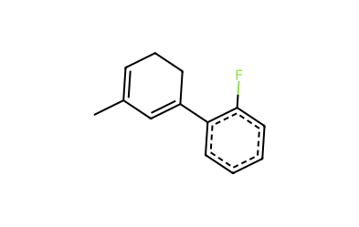 CC1=CCCC(c2ccccc2F)=C1